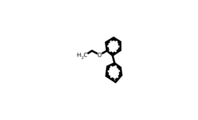 [CH2]COc1ccccc1-c1ccccc1